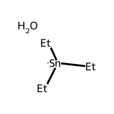 C[CH2][Sn]([CH2]C)[CH2]C.O